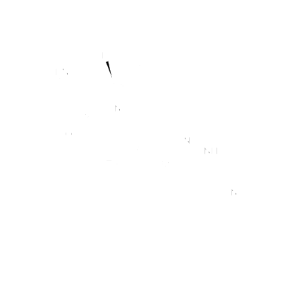 NC1C(=O)N2C(C(=O)O)=C(C=NNc3ccccn3)CS[C@@H]12